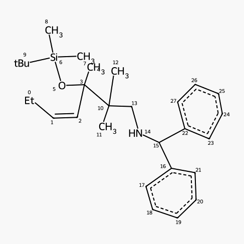 CC/C=C\C(C)(O[Si](C)(C)C(C)(C)C)C(C)(C)CNC(c1ccccc1)c1ccccc1